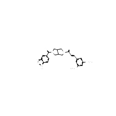 COc1cc(/C=C/C(=O)N2CC3CN(C(=O)c4ccc5[nH]nnc5c4)CC3C2)cc(OC)c1